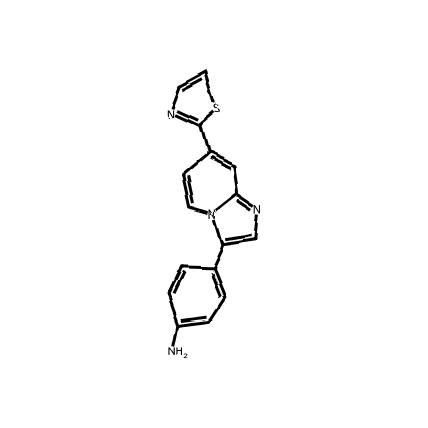 Nc1ccc(-c2cnc3cc(-c4nccs4)ccn23)cc1